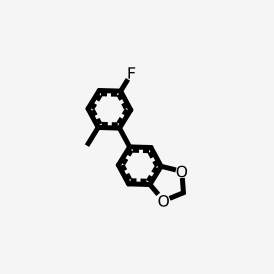 Cc1ccc(F)cc1-c1ccc2c(c1)OCO2